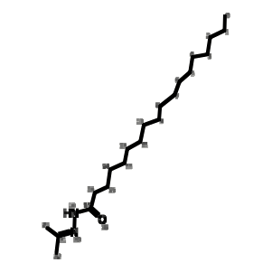 CCCCCCCCCCCCCCCCCC(=O)NN=C(C)C